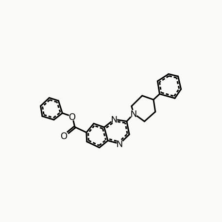 O=C(Oc1ccccc1)c1ccc2ncc(N3CCC(c4ccccc4)CC3)nc2c1